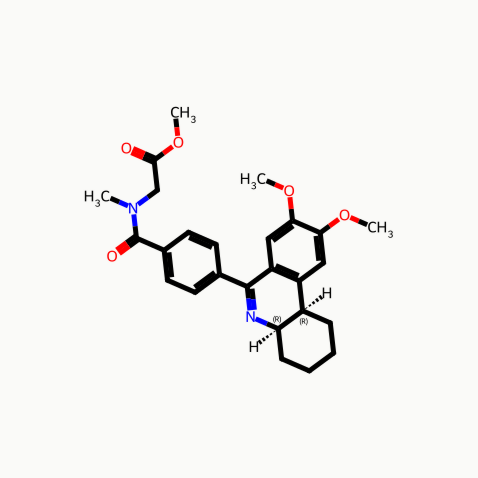 COC(=O)CN(C)C(=O)c1ccc(C2=N[C@@H]3CCCC[C@@H]3c3cc(OC)c(OC)cc32)cc1